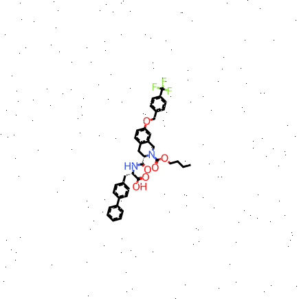 CCCCOC(=O)N1Cc2cc(OCc3ccc(C(F)(F)F)cc3)ccc2C[C@H]1C(=O)N[C@@H](Cc1ccc(-c2ccccc2)cc1)C(=O)O